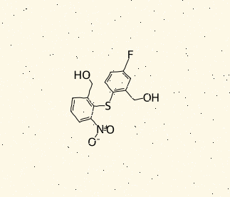 O=[N+]([O-])c1cccc(CO)c1Sc1ccc(F)cc1CO